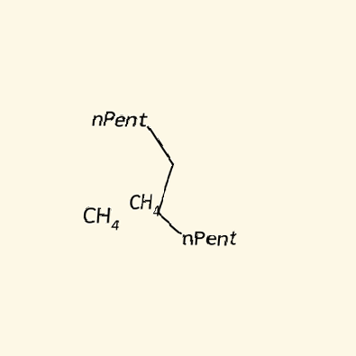 C.C.CCCCCCCCCCCC